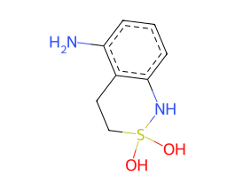 Nc1cccc2c1CCS(O)(O)N2